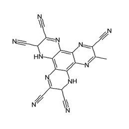 Cc1nc2c3c(c4c(c2nc1C#N)N=C(C#N)C(C#N)N4)N=C(C#N)C(C#N)N3